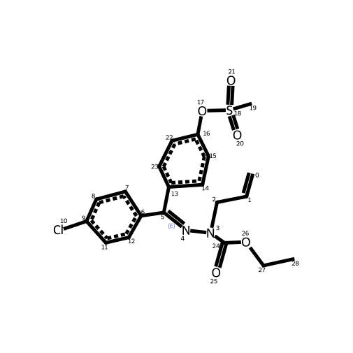 C=CCN(/N=C(/c1ccc(Cl)cc1)c1ccc(OS(C)(=O)=O)cc1)C(=O)OCC